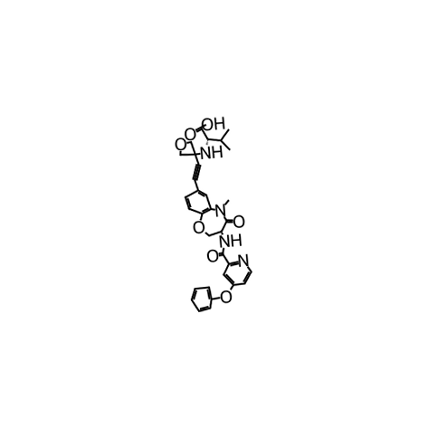 CC(C)[C@H](NC1(C#Cc2ccc3c(c2)N(C)C(=O)[C@@H](NC(=O)c2cc(Oc4ccccc4)ccn2)CO3)COC1)C(=O)O